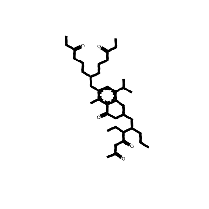 CCCC(CC1CC(=O)c2c(C)c(CC(CCCC(=O)CC)CCCC(=O)CC)cc(C(C)C)c2C1)C(CC)C(=O)CC(C)=O